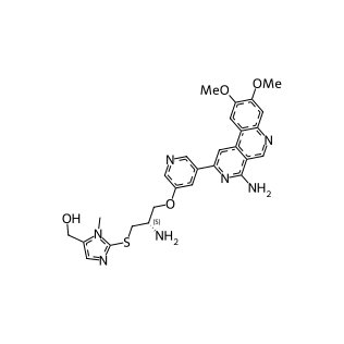 COc1cc2ncc3c(N)nc(-c4cncc(OC[C@H](N)CSc5ncc(CO)n5C)c4)cc3c2cc1OC